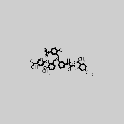 COc1cccc(CN(Cc2cc([N+](=O)[O-])ccc2O)c2cccc(NC(=O)COC3CC(C)CCC3C(C)C)c2)c1Oc1ccc(C(=O)O)cn1